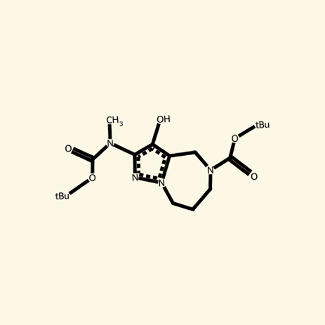 CN(C(=O)OC(C)(C)C)c1nn2c(c1O)CN(C(=O)OC(C)(C)C)CCC2